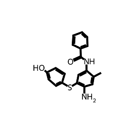 Cc1cc(N)c(Sc2ccc(O)cc2)cc1NC(=O)c1ccccc1